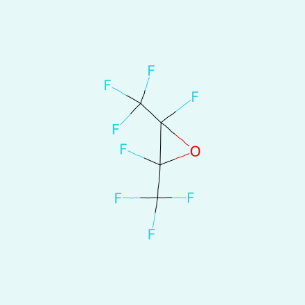 FC(F)(F)C1(F)OC1(F)C(F)(F)F